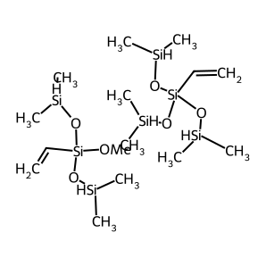 C=C[Si](OC)(O[SiH](C)C)O[SiH](C)C.C=C[Si](O[SiH](C)C)(O[SiH](C)C)O[SiH](C)C